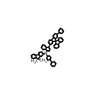 CC1(C)c2ccccc2-c2ccc(N(c3ccc(-c4ccccc4)cc3)c3ccc(-c4ccc5c(c4)C4(c6ccccc6-c6ccccc64)c4cc(-c6ccccc6)ccc4-5)c4ccccc34)cc21